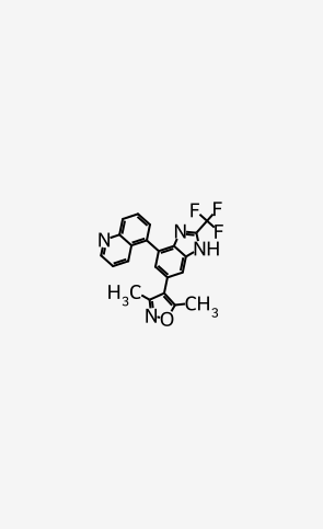 Cc1noc(C)c1-c1cc(-c2cccc3ncccc23)c2nc(C(F)(F)F)[nH]c2c1